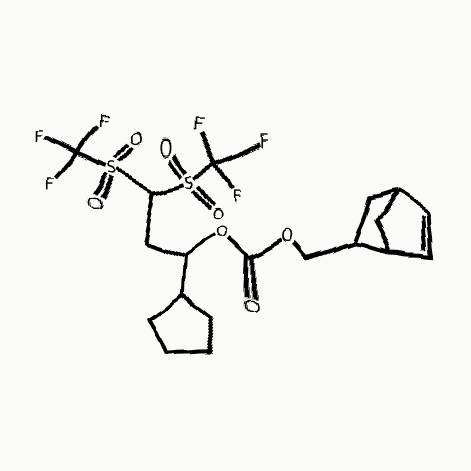 O=C(OCC1CC2C=CC1C2)OC(CC(S(=O)(=O)C(F)(F)F)S(=O)(=O)C(F)(F)F)C1CCCC1